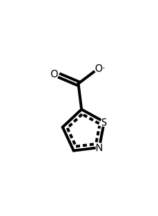 [O]C(=O)c1ccns1